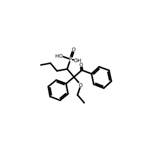 CCCC(C(OCC)(C(=O)c1ccccc1)c1ccccc1)P(=O)(O)O